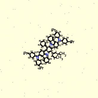 C=C/C=C(\C=C/C)c1c2c3ccc(N(c4ccc(C(C)C)cc4)c4ccc(C(C)C)cc4)c4c5ccccc5n(c2c(-c2ccccc2)c2c5ccc(N(c6ccc(C(C)C)cc6)c6ccc(C(C)C)cc6)c6c7ccccc7n(c12)c56)c34